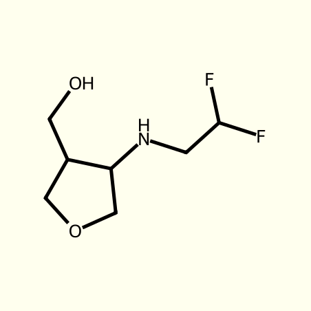 OCC1COCC1NCC(F)F